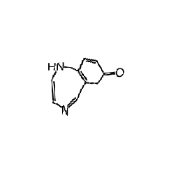 O=C1C=CC2=C(C=NC=CN2)C1